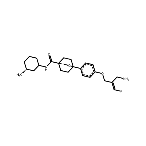 C[C@H]1CCCC(NC(=O)C23CCC(c4ccc(OC/C(=C/F)CN)cc4)(CC2)CC3)C1